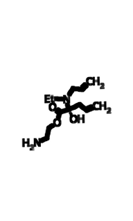 C=CCN(CC)[C@@](O)(CC=C)C(=O)OCCN